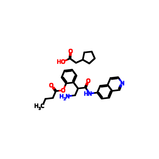 CCCC(=O)Oc1ccccc1C(CN)C(=O)Nc1ccc2cnccc2c1.O=C(O)CC1CCCC1